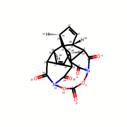 O=C1ON2C(=O)C3C(C2=O)[C@@H]2C=C[C@H]3C23[C@@H]2C=C[C@H]3C3C(=O)N(O1)C(=O)C32